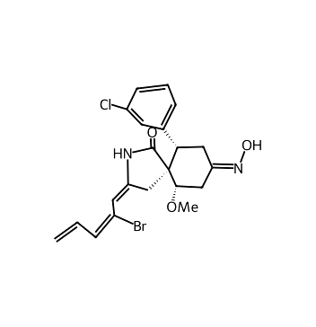 C=C/C=C(Br)\C=C1/C[C@@]2(C(=O)N1)[C@@H](OC)C/C(=N/O)C[C@H]2c1cccc(Cl)c1